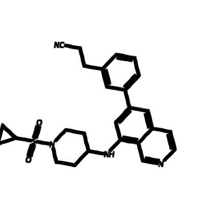 N#CCCc1cccc(-c2cc(NC3CCN(S(=O)(=O)C4CC4)CC3)c3cnccc3c2)c1